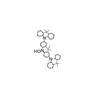 CC1(C)c2cc(N3c4ccccc4C(C)(C)c4ccccc43)ccc2N(O)c2ccc(N3c4ccccc4C(C)(C)c4ccccc43)cc21